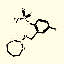 O=S(=O)(Oc1ccc(F)cc1COB1OCCCCO1)C(F)(F)F